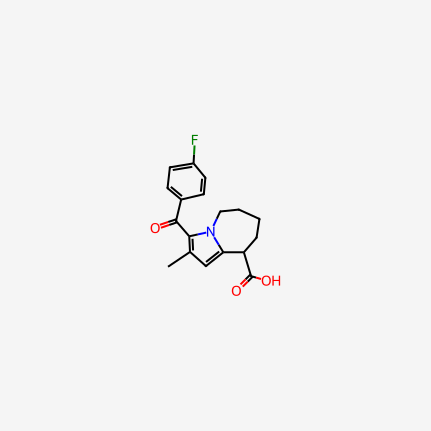 Cc1cc2n(c1C(=O)c1ccc(F)cc1)CCCCC2C(=O)O